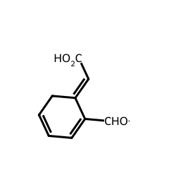 O=[C]C1=CC=CCC1=CC(=O)O